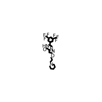 O=c1[nH]c(-c2cc(C(F)(F)F)cc(C(F)(F)F)c2)cn2nc(OCCCN3CCCCC3)cc12